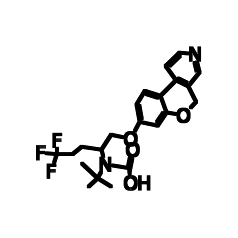 CC(C)(C)N(C(=O)O)C(CCC(F)(F)F)COc1ccc2c(c1)OCc1cnccc1-2